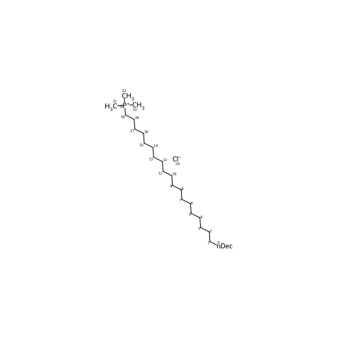 CCCCCCCCCCCCCCCCCCCCCCCCCCCCC[P+](C)(C)C.[Cl-]